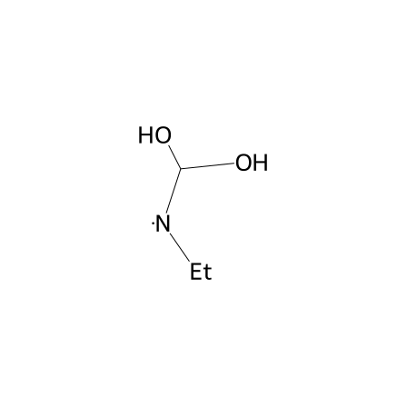 CC[N]C(O)O